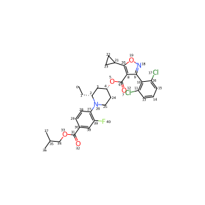 CC[C@@H]1C[C@H](OC(=O)c2c(-c3c(Cl)cccc3Cl)noc2C2CC2)CCN1c1ccc(C(=O)OCC(C)C)cc1F